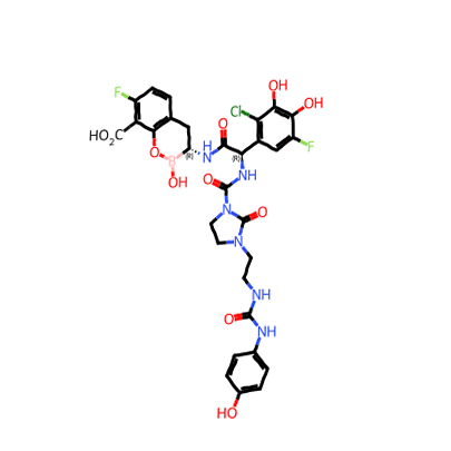 O=C(NCCN1CCN(C(=O)N[C@@H](C(=O)N[C@H]2Cc3ccc(F)c(C(=O)O)c3OB2O)c2cc(F)c(O)c(O)c2Cl)C1=O)Nc1ccc(O)cc1